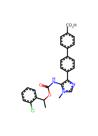 CC(OC(=O)Nc1c(-c2ccc(-c3ccc(C(=O)O)cc3)cc2)ncn1C)c1ccccc1Cl